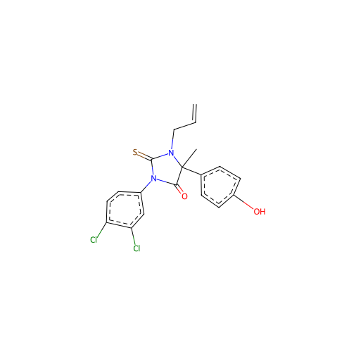 C=CCN1C(=S)N(c2ccc(Cl)c(Cl)c2)C(=O)C1(C)c1ccc(O)cc1